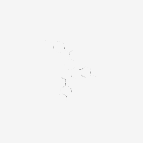 CC(=O)N1CCC(C(=O)N2CC[C@@H](N(C)C(=O)c3ccc(Cl)c(C(F)(F)F)c3)[C@H](c3ccc(F)cc3)C2)CC1